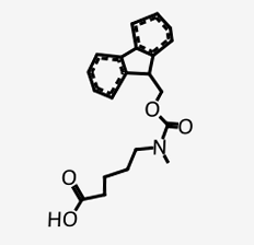 CN(CCCCC(=O)O)C(=O)OCC1c2ccccc2-c2ccccc21